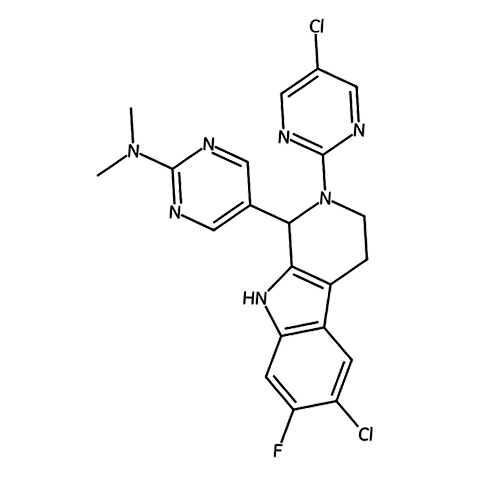 CN(C)c1ncc(C2c3[nH]c4cc(F)c(Cl)cc4c3CCN2c2ncc(Cl)cn2)cn1